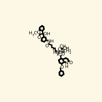 COC(=O)C(O)(c1ccccc1)c1cccc(NC(=O)CCCCNC[C@H](O[Si](C)(C)C(C)(C)C)c2ccc(OCc3ccccc3)c3[nH]c(=O)ccc23)c1